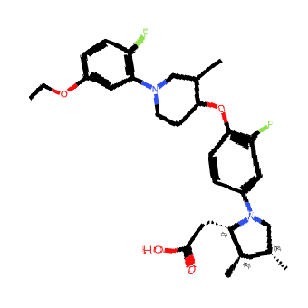 CCOc1ccc(F)c(N2CCC(Oc3ccc(N4C[C@H](C)[C@@H](C)[C@@H]4CC(=O)O)cc3F)C(C)C2)c1